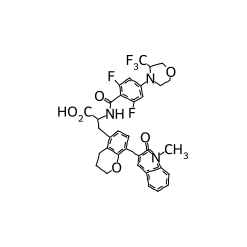 Cn1c(=O)c(-c2ccc(CC(NC(=O)c3c(F)cc(N4CCOCC4C(F)(F)F)cc3F)C(=O)O)c3c2OCCC3)cc2ccccc21